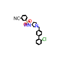 N#Cc1cccc(S(=O)(=O)N[C@@H]2CCN(Cc3ccc(-c4ccccc4Cl)cc3)C2)c1